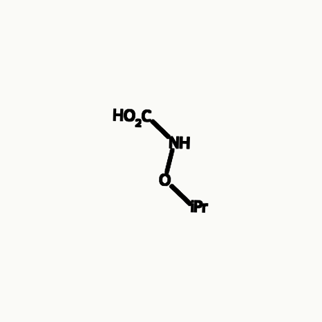 CC(C)ONC(=O)O